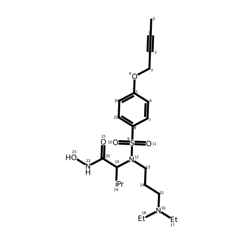 CC#CCOc1ccc(S(=O)(=O)N(CCCN(CC)CC)C(C(=O)NO)C(C)C)cc1